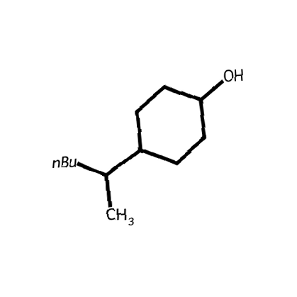 CCCCC(C)C1CCC(O)CC1